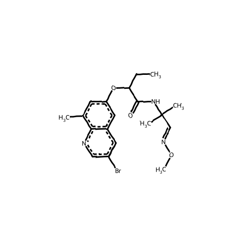 CCC(Oc1cc(C)c2ncc(Br)cc2c1)C(=O)NC(C)(C)C=NOC